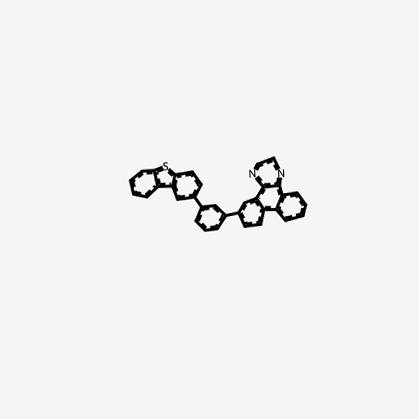 c1cc(-c2ccc3sc4ccccc4c3c2)cc(-c2ccc3c4ccccc4c4nccnc4c3c2)c1